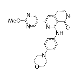 COc1ncc(-c2cc3c(c(Nc4ccc(N5CCOCC5)cc4)n2)C(=O)[N]C=C3)cn1